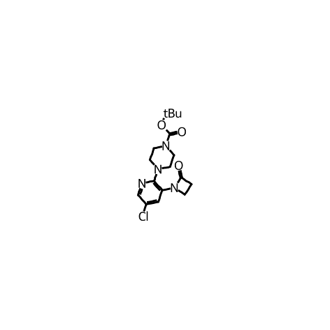 CC(C)(C)OC(=O)N1CCN(c2ncc(Cl)cc2N2CCC2=O)CC1